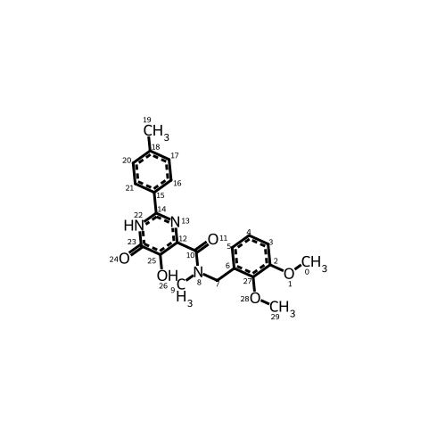 COc1cccc(CN(C)C(=O)c2nc(-c3ccc(C)cc3)[nH]c(=O)c2O)c1OC